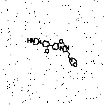 COc1cc(N2CCNCC2)ccc1-c1ccc2c(c1)OCc1nc(CCN3CCOCC3)cn1-2